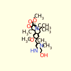 CCOC(=O)C1=CN2C(C3=CC(OC)C(C)(C/C(=C/C=N)CN(C)CCCO)C=C3CC2C(C)(C)C)C(C)C1=O